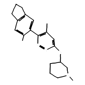 Cc1cc(NC2CCCN(C)C2)nnc1-c1cc2c(cc1O)CCC2